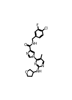 Cc1cnc(NC2CCOC2)nc1-n1cnc(C(=O)NCc2ccc(Cl)c(F)c2)c1